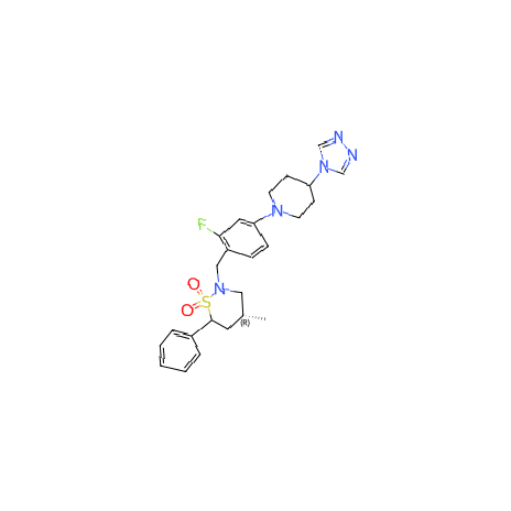 C[C@@H]1CC(c2ccccc2)S(=O)(=O)N(Cc2ccc(N3CCC(n4cnnc4)CC3)cc2F)C1